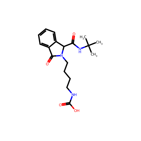 CC(C)(C)NC(=O)C1c2ccccc2C(=O)N1CCCCNC(=O)O